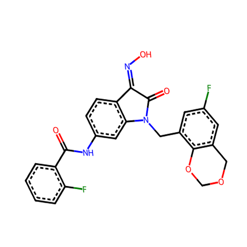 O=C(Nc1ccc2c(c1)N(Cc1cc(F)cc3c1OCOC3)C(=O)/C2=N\O)c1ccccc1F